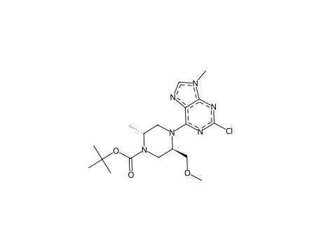 COC[C@H]1CN(C(=O)OC(C)(C)C)[C@H](C)CN1c1nc(Cl)nc2c1ncn2C